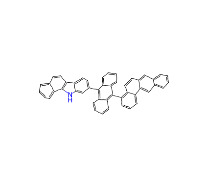 c1ccc2cc3c(ccc4c(-c5c6ccccc6c(-c6ccc7c(c6)[nH]c6c8ccccc8ccc76)c6ccccc56)cccc43)cc2c1